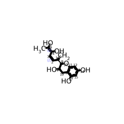 C=C(/C=C\C(O)=C(/C)O)[C@H]1Oc2cc(O)cc(O)c2C[C@H]1O